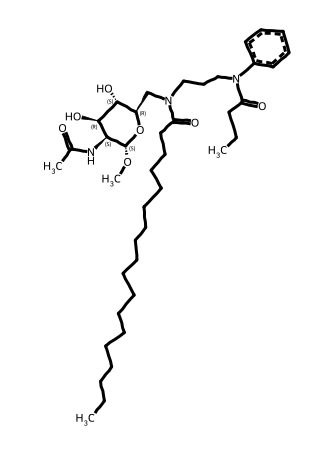 CCCCCCCCCCCCCCCCCC(=O)N(CCCN(C(=O)CCC)c1ccccc1)C[C@H]1O[C@H](OC)[C@@H](NC(C)=O)[C@@H](O)[C@@H]1O